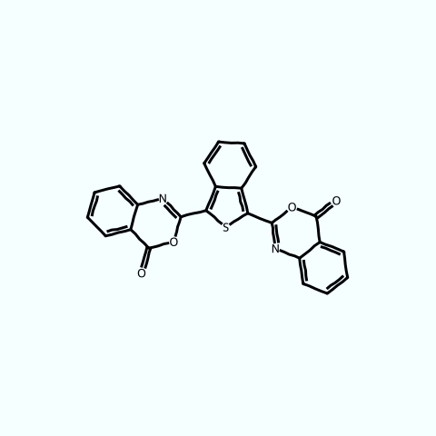 O=c1oc(-c2sc(-c3nc4ccccc4c(=O)o3)c3ccccc23)nc2ccccc12